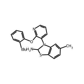 Cc1ccc2c(c1)N(c1cccnc1Oc1ccccc1C(C)(C)C)C(N)S2